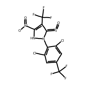 O=S=c1c(C(F)(F)F)c([N+](=O)[O-])[nH]n1-c1c(Cl)cc(C(F)(F)F)cc1Cl